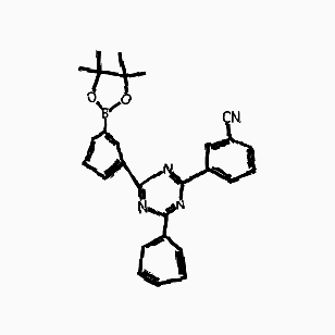 CC1(C)OB(c2cccc(-c3nc(-c4ccccc4)nc(-c4cccc(C#N)c4)n3)c2)OC1(C)C